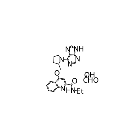 CCNC(=O)c1cc(OCC2CCCN2c2ncnc3[nH]cnc23)c2ccccc2n1.O=CO